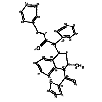 CC1CC(N(C(=O)CCc2ccccc2)c2ccccc2)c2ccccc2N1C(=O)c1ccco1